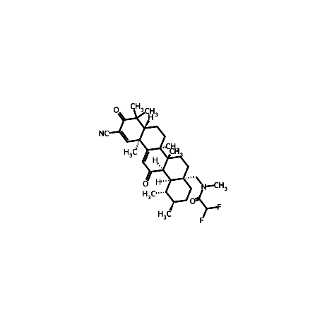 C[C@@H]1[C@H]2[C@H]3C(=O)C=C4[C@@]5(C)C=C(C#N)C(=O)C(C)(C)[C@@H]5CC[C@@]4(C)[C@]3(C)CC[C@@]2(CN(C)C(=O)C(F)F)CC[C@H]1C